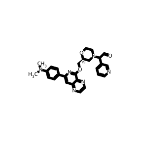 CN(C)c1ccc(-c2cc3nccnc3c(OC[C@@H]3CN(C(C=O)c4cccnc4)CCO3)n2)cc1